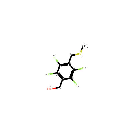 CSCc1c(F)c(F)c(CO)c(F)c1F